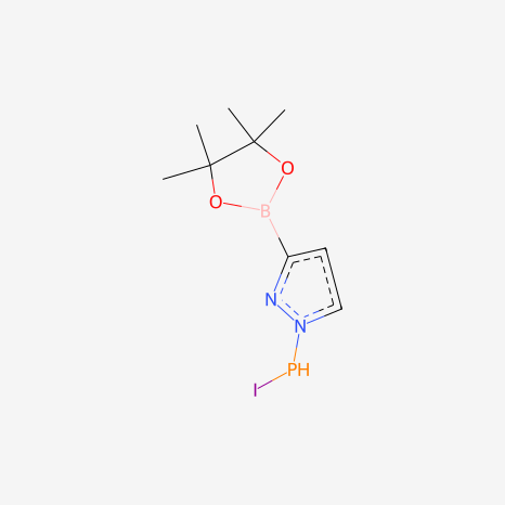 CC1(C)OB(c2ccn(PI)n2)OC1(C)C